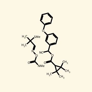 CC1(C)C(C(=O)OC(C#N)c2cccc(Oc3ccccc3)c2)C1(C)C.CNC(=O)O/N=C/C(C)(C)SC